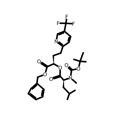 CC(C)C[C@@H](C(=O)O[C@H](CCc1ccc(C(F)(F)F)cn1)C(=O)OCc1ccccc1)N(C)C(=O)OC(C)(C)C